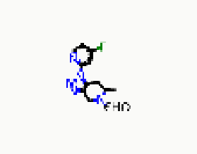 CC1Cc2c(nnn2-c2cc(F)ccn2)CN1C=O